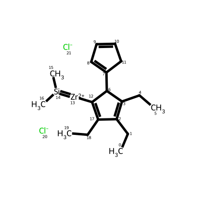 CCC1=C(CC)C(C2=CC=CC2)[C]([Zr+2]=[Si](C)C)=C1CC.[Cl-].[Cl-]